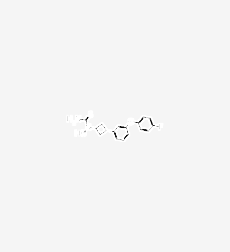 NC(=S)N(O)[C@H]1C[C@@H](c2cccc(Oc3ccc(F)cc3)c2)C1